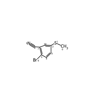 CSc1ccc(Br)c(C#N)c1